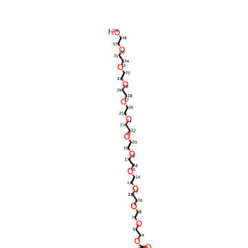 O=C(O)OCCOCCOCCOCCOCCOCCOCCOCCOCCOCCOCCOCCO